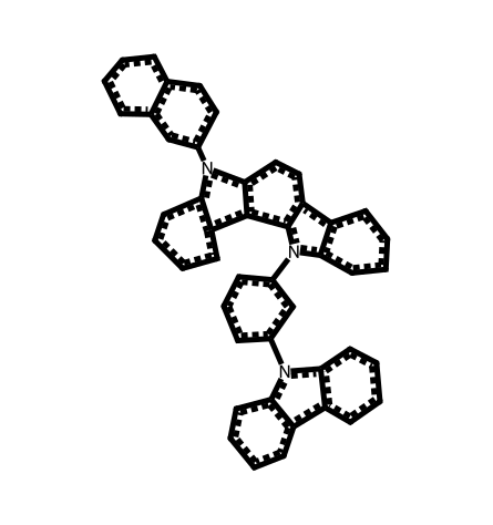 c1cc(-n2c3ccccc3c3ccccc32)cc(-n2c3ccccc3c3ccc4c(c5ccccc5n4-c4ccc5ccccc5c4)c32)c1